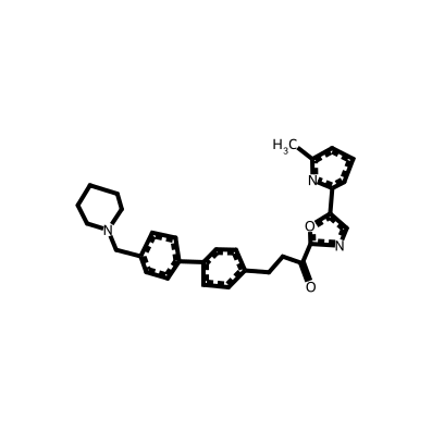 Cc1cccc(-c2cnc(C(=O)CCc3ccc(-c4ccc(CN5CCCCC5)cc4)cc3)o2)n1